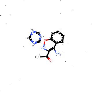 CC(=O)C1=C(N)c2ccccc2ON1.c1ncncn1